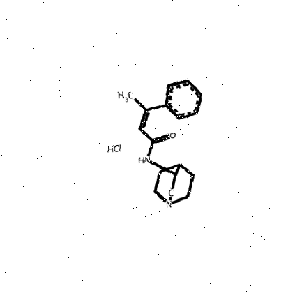 CC(=CC(=O)NC1CN2CCC1CC2)c1ccccc1.Cl